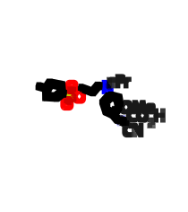 CCCN(CCCOS(=O)(=O)c1ccc(C)cc1)c1ccc(/C=C(/C#N)C(=O)O)c(OC)c1